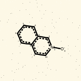 [O-][n+]1[c]c2cc[c]cc2cc1